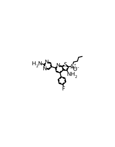 CCCC[S@+]([O-])c1sc2nc(-c3cnc(N)nc3)cc(-c3ccc(F)cc3)c2c1N